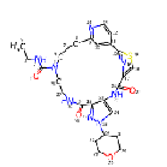 CCNC(=O)N1CCCc2cc(ccn2)-c2nc(cs2)C(=O)Nc2cn(C3CCOCC3)nc2C(=O)NCC1